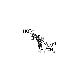 CC1(C)CCC(CN2CCN(c3ccc(C(=O)NS(=O)(=O)c4cnc(OCC5CCC(O)(CO)CC5)c(Cl)c4)c(Oc4cnc5[nH]ccc5c4)c3)CC2)=C(c2ccc(Cl)cc2)C1